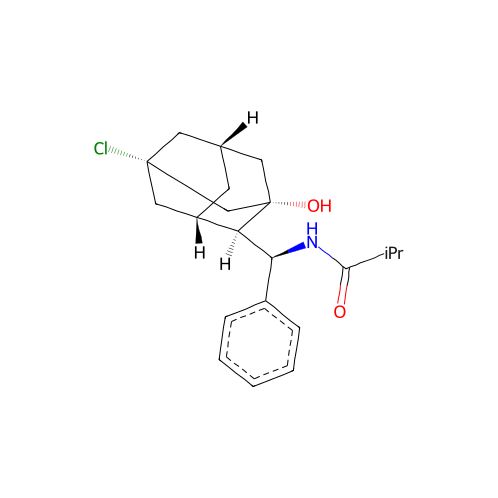 CC(C)C(=O)N[C@@H](c1ccccc1)[C@H]1[C@H]2C[C@@H]3C[C@](Cl)(C2)C[C@@]1(O)C3